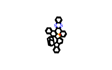 c1ccc(-c2nc3ccccc3nc2-c2c3ccccc3cc3c2sc2ccc4c(c23)C2(c3ccccc3-4)C3CC4CC(C3)CC2C4)cc1